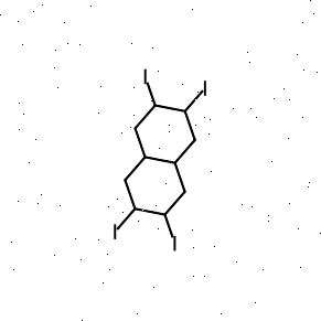 IC1CC2CC(I)C(I)CC2CC1I